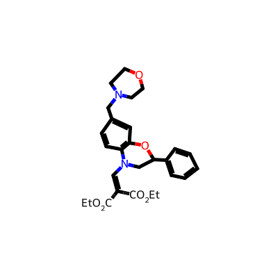 CCOC(=O)C(=CN1CC(c2ccccc2)Oc2cc(CN3CCOCC3)ccc21)C(=O)OCC